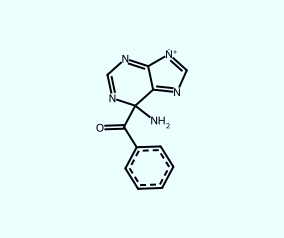 NC1(C(=O)c2ccccc2)N=CN=C2[N+]=CN=C21